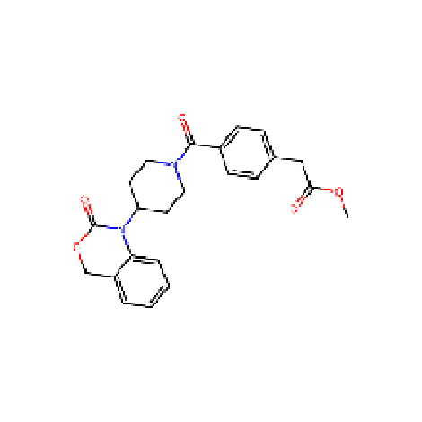 COC(=O)Cc1ccc(C(=O)N2CCC(N3C(=O)OCc4ccccc43)CC2)cc1